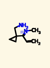 C=C/C(=N\C)C1(CN)CC1